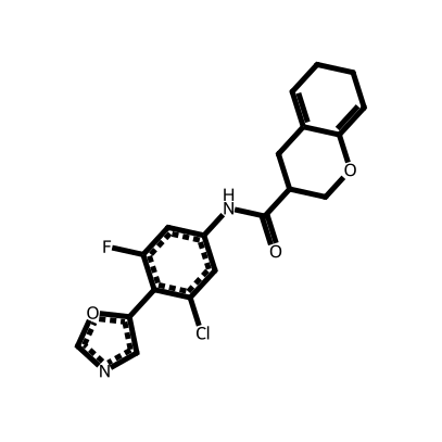 O=C(Nc1cc(F)c(-c2cnco2)c(Cl)c1)C1COC2=CCCC=C2C1